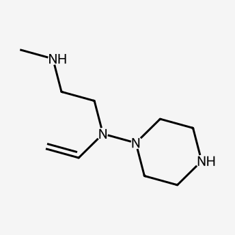 C=CN(CCNC)N1CCNCC1